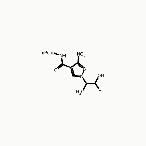 CCCCCNC(=O)c1cn(C(C)C(O)CC)nc1[N+](=O)[O-]